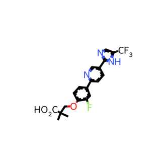 CC(C)(COc1ccc(-c2ccc(-c3ncc(C(F)(F)F)[nH]3)cn2)cc1F)C(=O)O